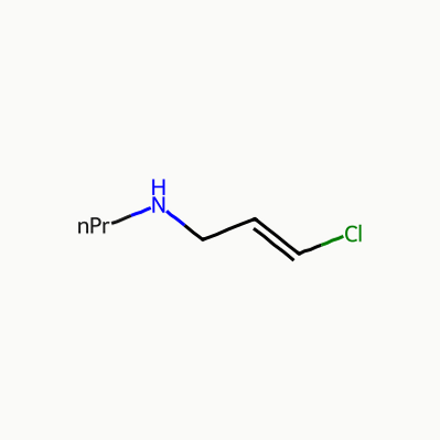 CCCNCC=CCl